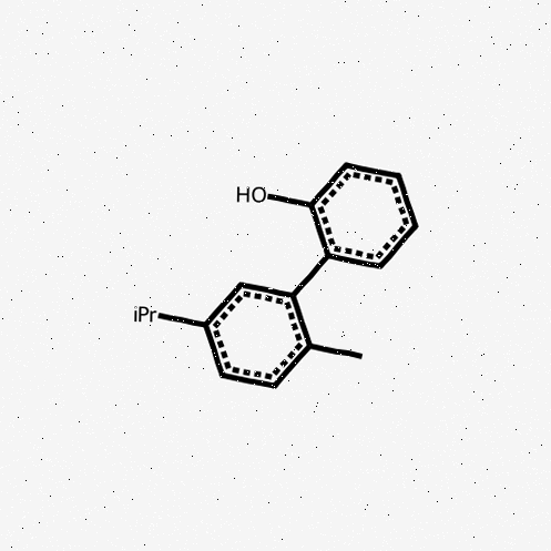 Cc1ccc(C(C)C)cc1-c1ccccc1O